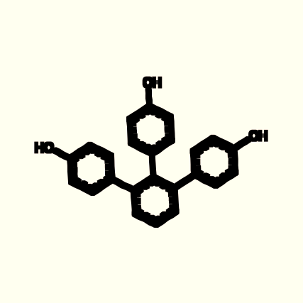 Oc1ccc(-c2cccc(-c3ccc(O)cc3)c2-c2ccc(O)cc2)cc1